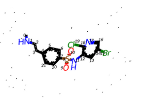 CNCCc1ccc(S(=O)(=O)Nc2cc(Br)cnc2Cl)cc1